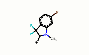 [2H]C1N(C)c2cc(Br)ccc2C1(F)F